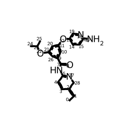 C/C=C1\C=CC(NC(=O)c2cc(Oc3ccc(N)nc3)cc(OC(C)C)c2)=NC1